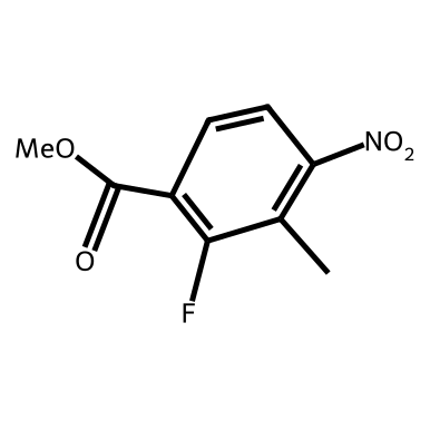 COC(=O)c1ccc([N+](=O)[O-])c(C)c1F